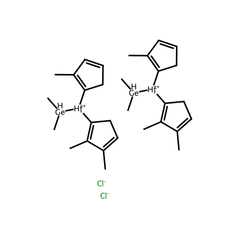 CC1=CC[C]([Hf+]([C]2=C(C)C=CC2)[GeH]([CH3])[CH3])=C1C.CC1=CC[C]([Hf+]([C]2=C(C)C=CC2)[GeH]([CH3])[CH3])=C1C.[Cl-].[Cl-]